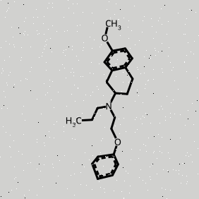 CCCN(CCOc1ccccc1)C1CCc2ccc(OC)cc2C1